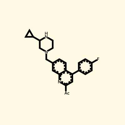 CC(=O)c1cc(-c2ccc(F)cc2)c2ccc(CN3CCNC(C4CC4)C3)cc2n1